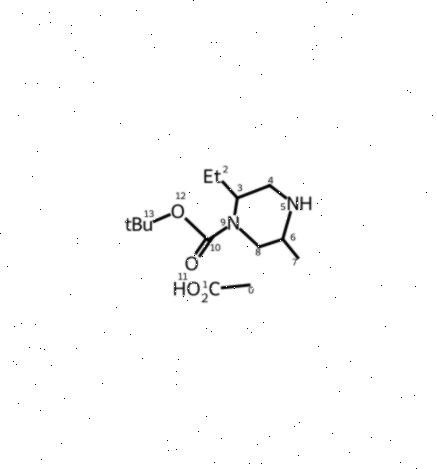 CC(=O)O.CCC1CNC(C)CN1C(=O)OC(C)(C)C